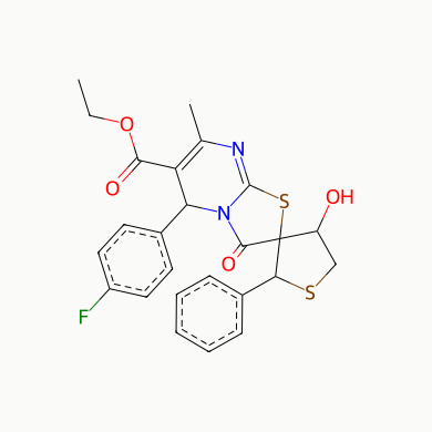 CCOC(=O)C1=C(C)N=C2SC3(C(=O)N2C1c1ccc(F)cc1)C(O)CSC3c1ccccc1